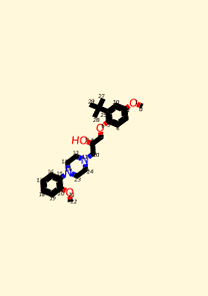 COc1ccc(OCC(O)CN2CCN(c3ccccc3OC)CC2)c(C(C)(C)C)c1